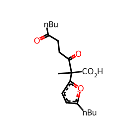 CCCCC(=O)CCC(=O)C(C)(C(=O)O)c1ccc(CCCC)o1